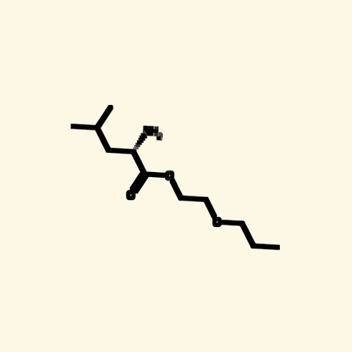 CCCOCCOC(=O)[C@@H](N)CC(C)C